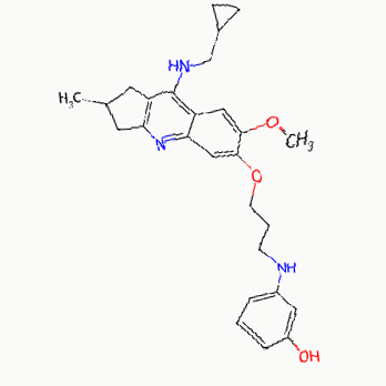 COc1cc2c(NCC3CC3)c3c(nc2cc1OCCCNc1cccc(O)c1)CC(C)C3